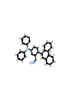 N=Cc1cc(N(c2ccccc2)c2ccccc2)ccc1-c1cc2ccccc2c2ccccc12